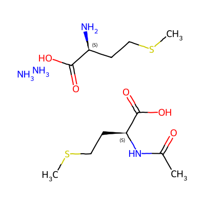 CSCC[C@H](N)C(=O)O.CSCC[C@H](NC(C)=O)C(=O)O.N.N